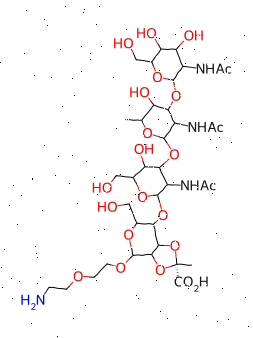 CC(=O)NC1C(OC2C(O)C(C)OC(OC3C(O)C(CO)OC(OC4C(CO)OC(OCCOCCN)C5O[C@@](C)(C(=O)O)OC45)C3NC(C)=O)C2NC(C)=O)OC(CO)C(O)C1O